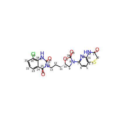 O=C1CSc2ccc(N3C[C@H](CCCn4c(=O)[nH]c5c(Cl)cccc5c4=O)OC3=O)nc2N1